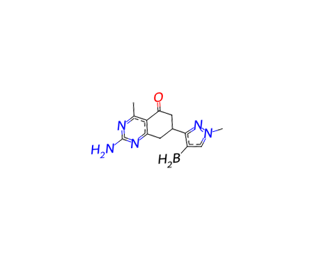 Bc1cn(C)nc1C1CC(=O)c2c(C)nc(N)nc2C1